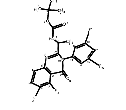 CC(NC(=O)OC(C)(C)C)c1nc2ccc(F)c(F)c2c(=O)n1-c1cc(F)cc(F)c1